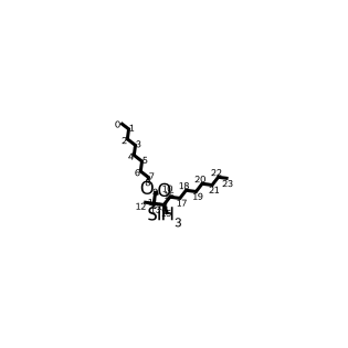 CCCCCCCCOC(=O)C(C)([SiH3])C(C)CCCCCCCC